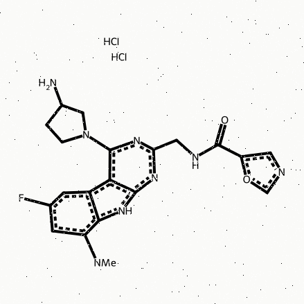 CNc1cc(F)cc2c1[nH]c1nc(CNC(=O)c3cnco3)nc(N3CCC(N)C3)c12.Cl.Cl